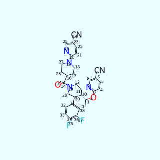 CC(Oc1ccc(C#N)cn1)[C@H]1CCN(C(=O)C2CCN(c3ccc(C#N)cn3)CC2)C[C@@H]1c1ccc(F)c(F)c1